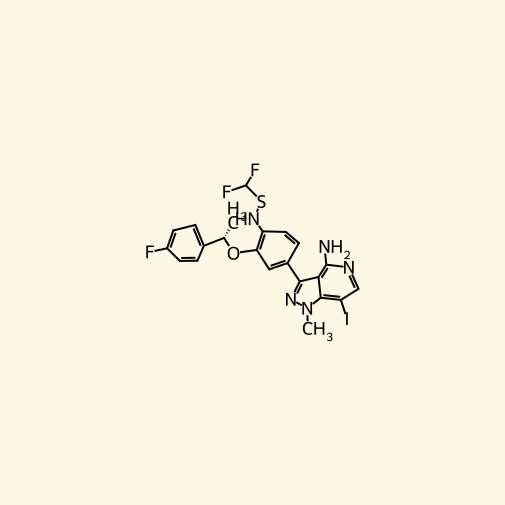 C[C@H](Oc1cc(-c2nn(C)c3c(I)cnc(N)c23)ccc1NSC(F)F)c1ccc(F)cc1